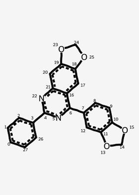 c1ccc(-c2nc(-c3ccc4c(c3)OCO4)c3cc4c(cc3n2)OCO4)cc1